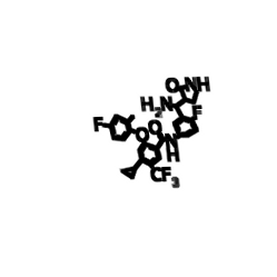 Cc1cc(F)ccc1Oc1cc(C2CC2)c(C(F)(F)F)cc1C(=O)Nc1ccc(F)c(C(N)C2CCNC2=O)c1